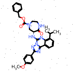 COc1ccc(-c2nc3c4cccc(C(C)C)c4nc(N[C@@H]4CN(C(=O)OCc5ccccc5)CCNC4=O)n3n2)cc1